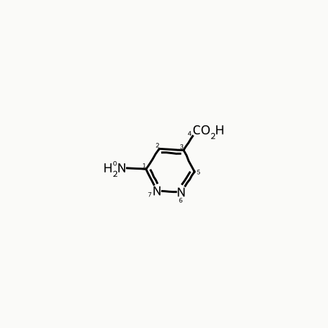 Nc1cc(C(=O)O)cnn1